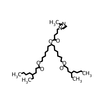 CCCCC(CC)CCC(=O)OCCCCCCC(CCCCCCOC(=O)CCC(CC)CCCC)OC(=O)CCCn1ccnc1C